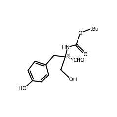 CC(C)(C)OC(=O)N[C@@](C=O)(CO)Cc1ccc(O)cc1